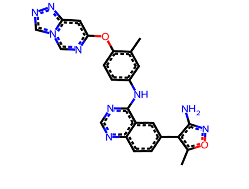 Cc1cc(Nc2ncnc3ccc(-c4c(N)noc4C)cc23)ccc1Oc1cc2nncn2cn1